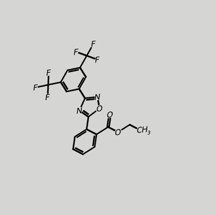 CCOC(=O)c1ccccc1-c1nc(-c2cc(C(F)(F)F)cc(C(F)(F)F)c2)no1